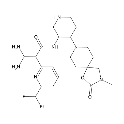 CCC(F)C/N=C(\C=C(C)C)C(C(=O)NC1CNCCC1N1CCC2(CC1)CN(C)C(=O)O2)C(N)N